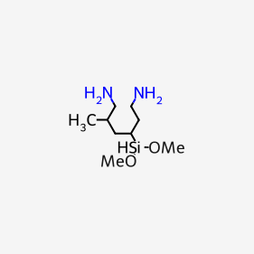 CO[SiH](OC)C(CCN)CC(C)CN